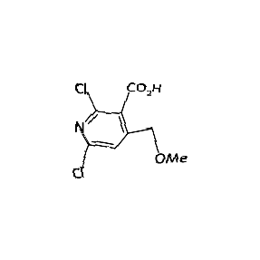 COCc1cc(Cl)nc(Cl)c1C(=O)O